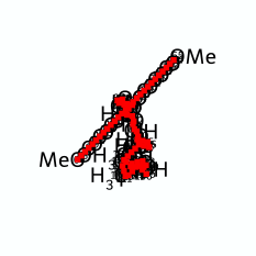 COCCOCCOCCOCCOCCOCCOCCOCCNC(=O)c1cc(N2C(=O)C=CC2=O)cc(C(=O)NCCOCCOCCOCCOCCOCCOCCOCCOC)c1OCCCC(=O)NCC(=O)NCC(=O)N[C@@H](Cc1ccccc1)C(=O)NCC(=O)NCO[C@@H](C)C(=O)N[C@H]1CCc2c(C)c(F)cc3nc4c(c1c23)Cn1c-4cc2c(c1=O)COC(=O)[C@]2(O)CC1CC1